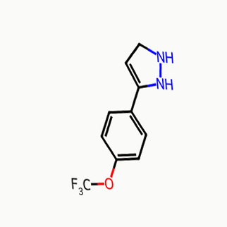 FC(F)(F)Oc1ccc(C2=CCNN2)cc1